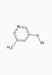 Cc1cncc(OC(C)C)c1